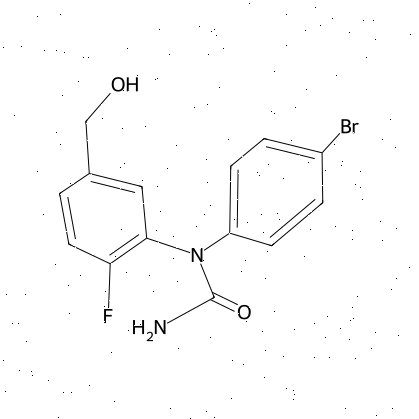 NC(=O)N(c1ccc(Br)cc1)c1cc(CO)ccc1F